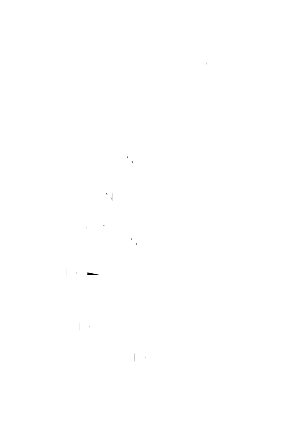 CCCCC(=O)Nc1ccn([C@@H]2O[C@H](CO)C(O)[C@H]2O)c(=O)n1